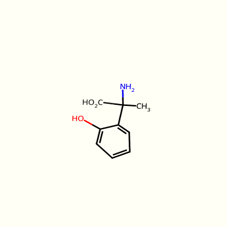 CC(N)(C(=O)O)c1ccccc1O